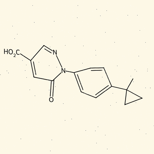 CC1(c2ccc(-n3ncc(C(=O)O)cc3=O)cc2)CC1